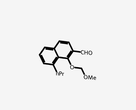 CCCc1cccc2ccc(C=O)c(OCOC)c12